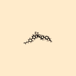 C=CCCC1CCC(c2ccc(C(F)C(F)(F)OCc3ccc(C4CCC(C=CC)CC4)cc3)cc2)CC1